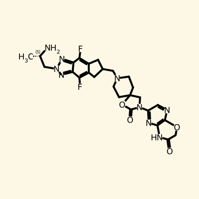 C[C@H](N)Cn1nc2c(F)c3c(c(F)c2n1)CC(CN1CCC2(CC1)CN(c1cnc4c(n1)NC(=O)CO4)C(=O)O2)C3